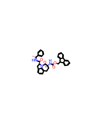 C[C@@H](NC(=O)[C@@H]1Cc2cccc3c2N1C(=O)[C@@H](NC(=O)OCC1c2ccccc2-c2ccccc21)CC3)c1ccccc1